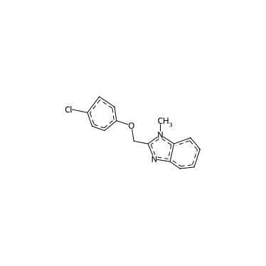 Cn1c(COc2ccc(Cl)cc2)nc2ccccc21